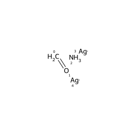 C=O.N.[Ag].[Ag]